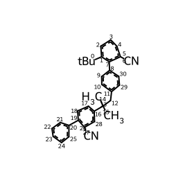 CC(C)(C)c1cccc(C#N)c1-c1ccc(CC(C)(C)c2ccc(-c3ccccc3)c(C#N)c2)cc1